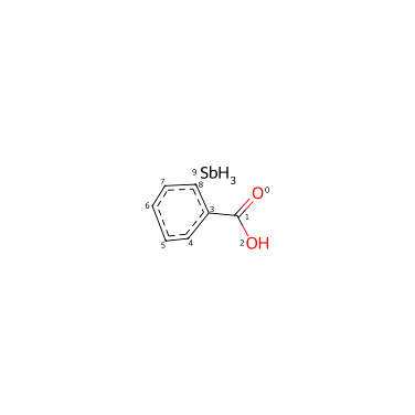 O=C(O)c1ccccc1.[SbH3]